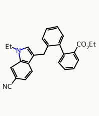 CCOC(=O)c1ccccc1-c1ccccc1Cc1cn(CC)c2cc(C#N)ccc12